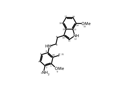 COc1c(N)ccc(NCCc2c[nH]c3c(OC)cccc23)c1F